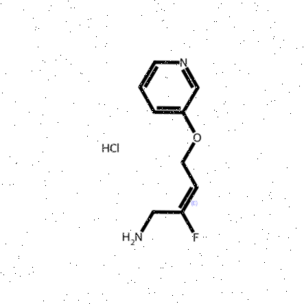 Cl.NC/C(F)=C\COc1cccnc1